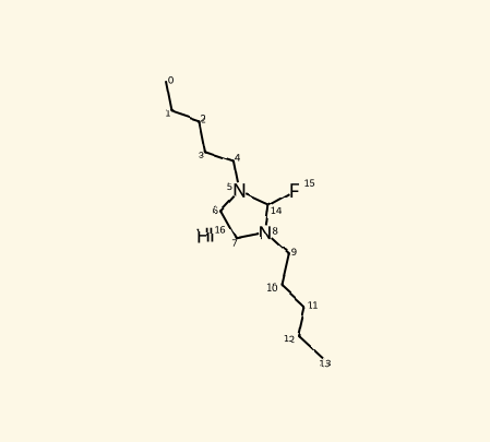 CCCCCN1CCN(CCCCC)C1F.I